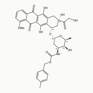 COc1cccc2c1C(=O)c1c(O)c3c(c(O)c1C2=O)C[C@@](O)(C(=O)CO)C[C@@H]3O[C@H]1C[C@H](NC(=O)OCc2ccc(C)cc2)[C@H](O)[C@H](C)O1